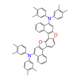 Cc1ccc(N(c2ccc(C)c(C)c2)c2cc3oc4c(ccc5oc6cc(N(c7ccc(C)c(C)c7)c7ccc(C)c(C)c7)c7ccccc7c6c54)c3c3ccccc23)cc1C